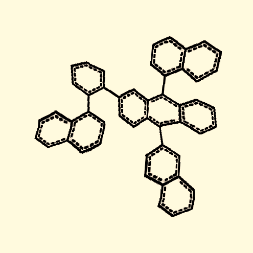 c1ccc(-c2cccc3ccccc23)c(-c2ccc3c(-c4ccc5ccccc5c4)c4ccccc4c(-c4cccc5ccccc45)c3c2)c1